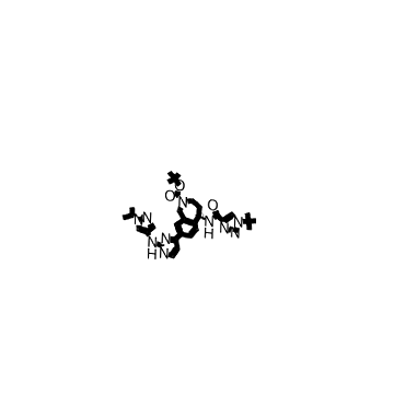 CC(C)n1cc(Nc2nccc(-c3ccc4c(c3)CN(C(=O)OC(C)(C)C)CC[C@H]4NC(=O)c3cn(C(C)(C)C)nn3)n2)cn1